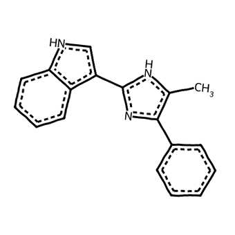 Cc1[nH]c(-c2c[nH]c3ccccc23)nc1-c1ccccc1